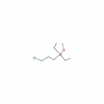 CC[Si](CC)(CCCCl)OC